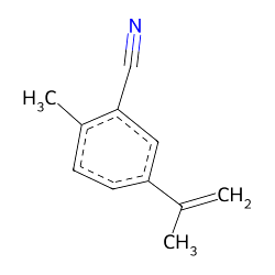 C=C(C)c1ccc(C)c(C#N)c1